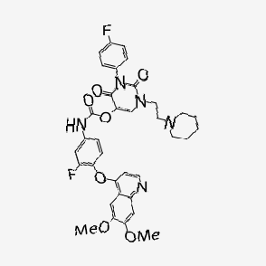 COc1cc2nccc(Oc3ccc(NC(=O)Oc4cn(CCN5CCCCC5)c(=O)n(-c5ccc(F)cc5)c4=O)cc3F)c2cc1OC